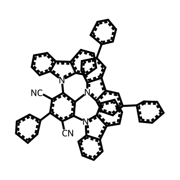 N#Cc1c(-c2ccccc2)c(C#N)c(-n2c3ccccc3c3ccccc32)c(-n2c3ccc(-c4ccccc4)cc3c3cc(-c4ccccc4)ccc32)c1-n1c2ccccc2c2ccccc21